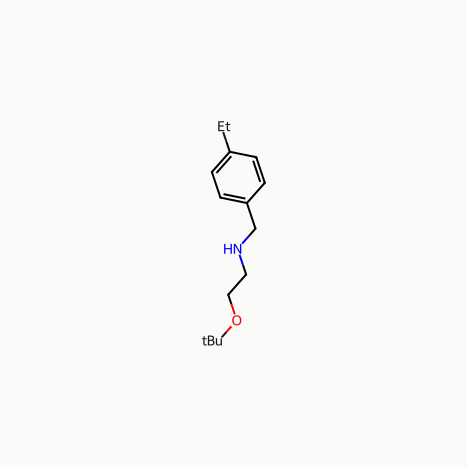 CCc1ccc(CNCCOC(C)(C)C)cc1